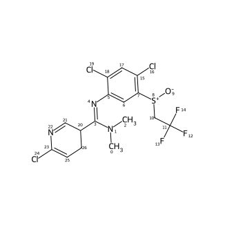 CN(C)/C(=N\c1cc([S+]([O-])CC(F)(F)F)c(Cl)cc1Cl)C1C=NC(Cl)=CC1